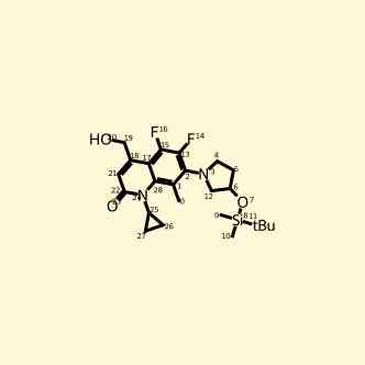 Cc1c(N2CCC(O[Si](C)(C)C(C)(C)C)C2)c(F)c(F)c2c(CO)cc(=O)n(C3CC3)c12